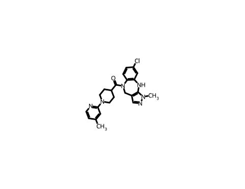 Cc1ccnc(N2CCC(C(=O)N3Cc4cnn(C)c4Nc4cc(Cl)ccc43)CC2)c1